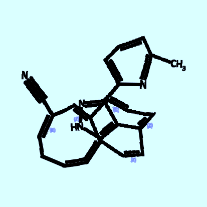 Cc1cccc(-c2n[nH]cc2C2=C\C=C\C3=C\C(C#N)=C/CC=C=C3/C=C\2)n1